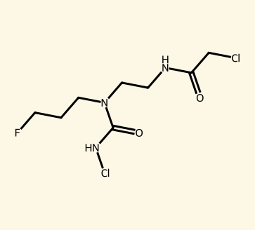 O=C(CCl)NCCN(CCCF)C(=O)NCl